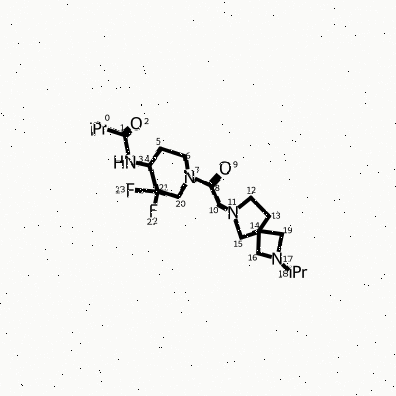 CC(C)C(=O)NC1CCN(C(=O)CN2CCC3(C2)CN(C(C)C)C3)CC1(F)F